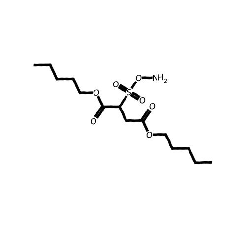 CCCCCOC(=O)CC(C(=O)OCCCCC)S(=O)(=O)ON